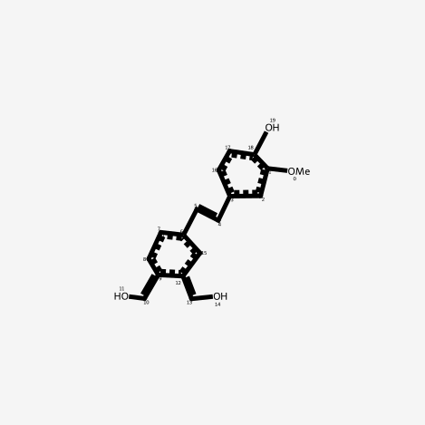 COc1cc(C=Cc2ccc(=CO)c(=CO)c2)ccc1O